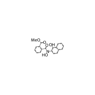 COC(=O)c1ccccc1C(=O)N(O)c1ccc2ccccc2c1O